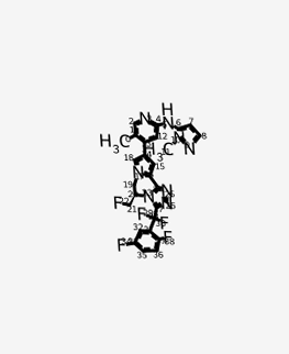 Cc1cnc(Nc2ccnn2C)cc1-c1cc2n(c1)C[C@H](CF)n1c-2nnc1C(F)(F)c1cc(F)ccc1F